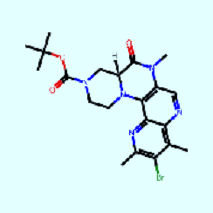 Cc1nc2c3c(cnc2c(C)c1Br)N(C)C(=O)[C@H]1CN(C(=O)OC(C)(C)C)CCN31